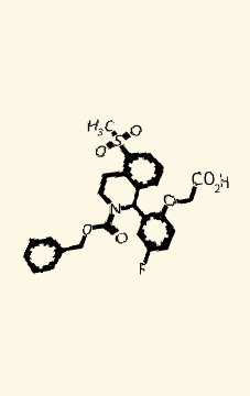 CS(=O)(=O)c1cccc2c1CCN(C(=O)OCc1ccccc1)C2c1cc(F)ccc1OCC(=O)O